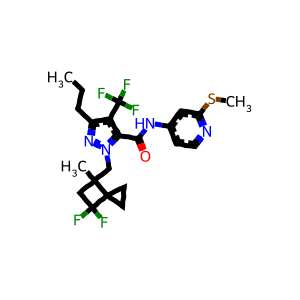 CCCc1nn(CC2(C)CC(F)(F)C23CC3)c(C(=O)Nc2ccnc(SC)c2)c1C(F)(F)F